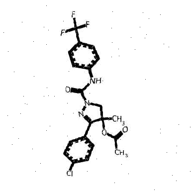 CC(=O)OC1(C)CN(C(=O)Nc2ccc(C(F)(F)F)cc2)N=C1c1ccc(Cl)cc1